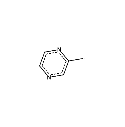 [C]c1cnccn1